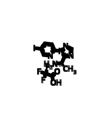 C[C@H](N)c1ncnn1-c1ccc(I)cn1.O=C(O)C(F)(F)F